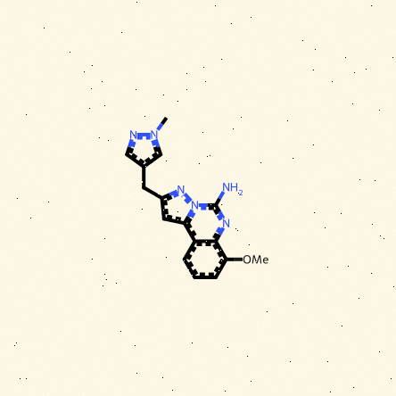 COc1cccc2c1nc(N)n1nc(Cc3cnn(C)c3)cc21